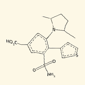 CC1CCC(C)N1c1cc(C(=O)O)cc(S(N)(=O)=O)c1-c1ccsc1